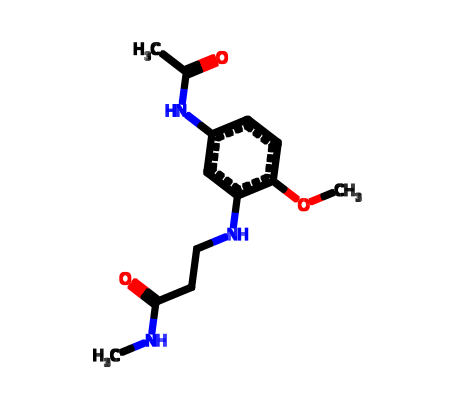 CNC(=O)CCNc1cc(NC(C)=O)ccc1OC